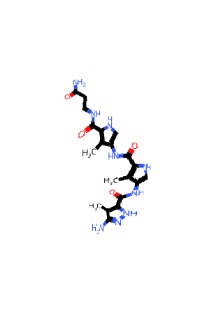 Cc1c(NC(=O)c2[nH]cc(NC(=O)c3[nH]nc(N)c3C)c2C)c[nH]c1C(=O)NCCC(N)=O